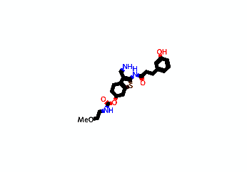 COCCNC(=O)OC1CCc2c(sc(NC(=O)CCc3cccc(O)c3)c2C=N)C1